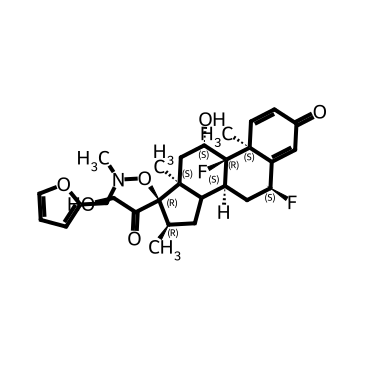 C[C@@H]1CC2[C@@H]3C[C@H](F)C4=CC(=O)C=C[C@]4(C)[C@@]3(F)[C@@H](O)C[C@]2(C)[C@@]1(ON(C)Cc1ccco1)C(=O)CO